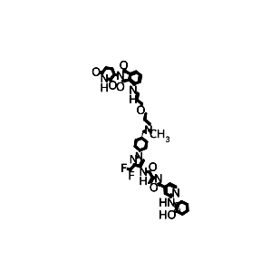 CN(CCCOCCCNc1cccc2c1C(=O)N(C1CCC(=O)NC1=O)C2=O)C[C@H]1CC[C@H](n2cc(NC(=O)c3coc(-c4ccnc(N[C@H]5CCCC[C@@H]5O)c4)n3)c(C(F)F)n2)CC1